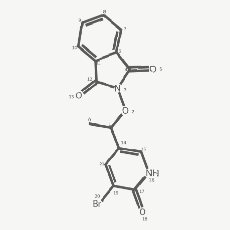 CC(ON1C(=O)c2ccccc2C1=O)c1c[nH]c(=O)c(Br)c1